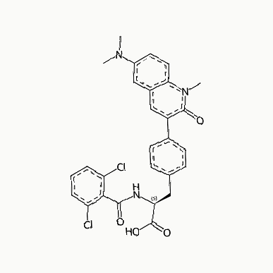 CN(C)c1ccc2c(c1)cc(-c1ccc(C[C@H](NC(=O)c3c(Cl)cccc3Cl)C(=O)O)cc1)c(=O)n2C